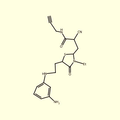 C#CCNC(=O)C(C#N)CC1SC(CCNc2cccc(N)c2)C(=O)N1CC